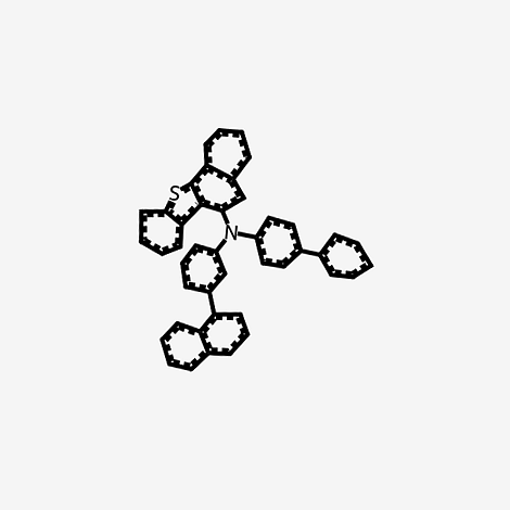 c1ccc(-c2ccc(N(c3cccc(-c4cccc5ccccc45)c3)c3cc4ccccc4c4sc5ccccc5c34)cc2)cc1